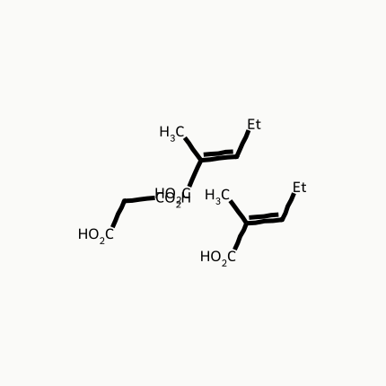 CC/C=C(\C)C(=O)O.CC/C=C(\C)C(=O)O.O=C(O)CC(=O)O